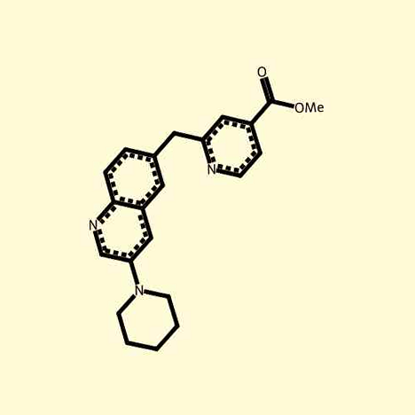 COC(=O)c1ccnc(Cc2ccc3ncc(N4CCCCC4)cc3c2)c1